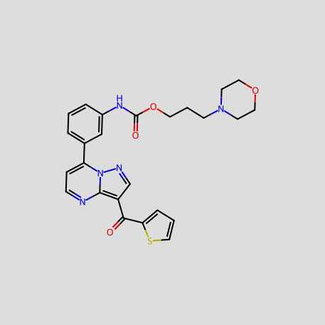 O=C(Nc1cccc(-c2ccnc3c(C(=O)c4cccs4)cnn23)c1)OCCCN1CCOCC1